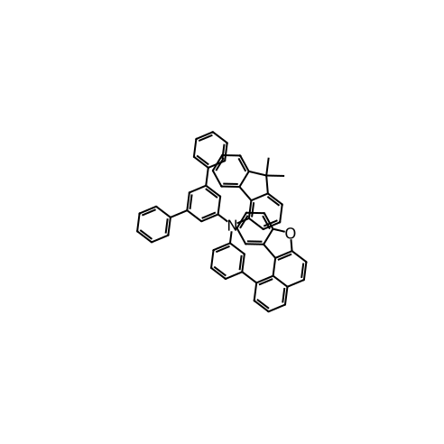 CC1(C)c2ccccc2-c2c(N(c3cc(-c4ccccc4)cc(-c4ccccc4)c3)c3cccc(-c4cccc5ccc6oc7ccccc7c6c45)c3)cccc21